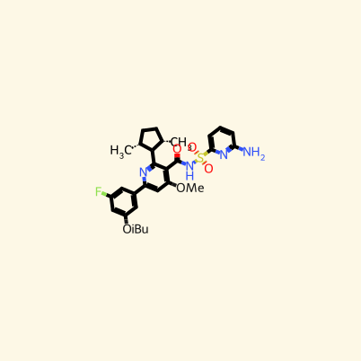 COc1cc(-c2cc(F)cc(OCC(C)C)c2)nc(C2[C@H](C)CC[C@@H]2C)c1C(=O)NS(=O)(=O)c1cccc(N)n1